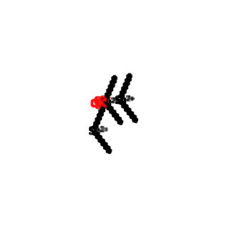 CCCCCCCCCCC[CH2][Sn+2][CH2]CCCCCCCCCCC.CCCCCCCCCCC[CH2][Sn+2][CH2]CCCCCCCCCCC.CCCCCCCCCCC[CH2][Sn+2][CH2]CCCCCCCCCCC.[O-]B([O-])[O-].[O-]B([O-])[O-]